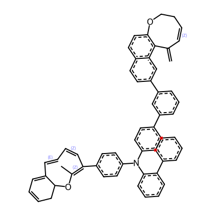 C=C1/C=C\CCOc2ccc3ccc(-c4cccc(-c5ccc(N(c6ccc(C7=C(/C)OC8CC=CC=C8/C=C/C=C\7)cc6)c6ccccc6-c6ccccc6)cc5)c4)cc3c21